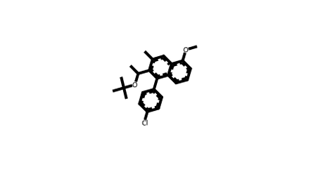 COc1cccc2c(-c3ccc(Cl)cc3)c(C(C)OC(C)(C)C)c(C)cc12